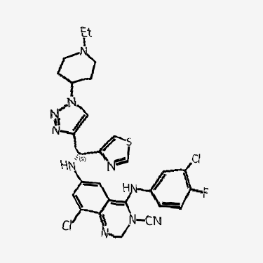 CCN1CCC(n2cc([C@@H](Nc3cc(Cl)c4c(c3)=C(Nc3ccc(F)c(Cl)c3)N(C#N)CN=4)c3cscn3)nn2)CC1